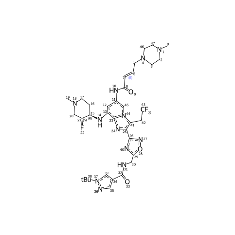 CN1CCN(C/C=C/C(=O)Nc2cc(N[C@@H]3CCN(C)C[C@@H]3F)c3nc(-c4noc(CNC(=O)c5cnn(C(C)(C)C)c5)n4)c(CC(F)(F)F)n3c2)CC1